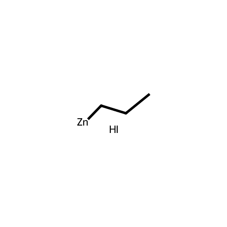 CC[CH2][Zn].I